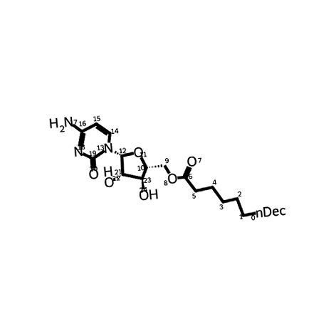 CCCCCCCCCCCCCCCC(=O)OC[C@H]1O[C@@H](n2ccc(N)nc2=O)[C@@H](O)[C@@H]1O